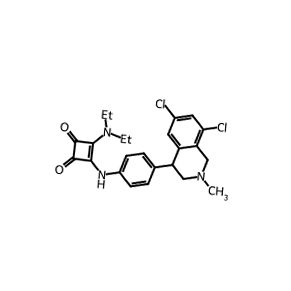 CCN(CC)c1c(Nc2ccc(C3CN(C)Cc4c(Cl)cc(Cl)cc43)cc2)c(=O)c1=O